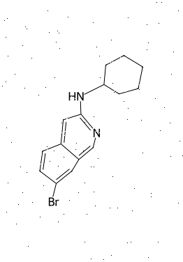 Brc1ccc2cc(NC3CCCCC3)ncc2c1